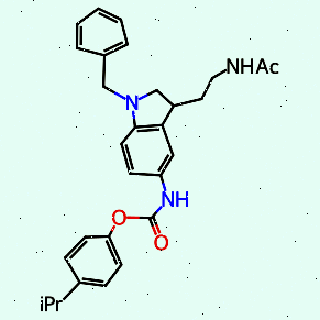 CC(=O)NCCC1CN(Cc2ccccc2)c2ccc(NC(=O)Oc3ccc(C(C)C)cc3)cc21